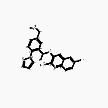 CC(Oc1cc2cc(F)ccc2nc1N)c1cc(CC(=O)O)ccc1-n1cccn1